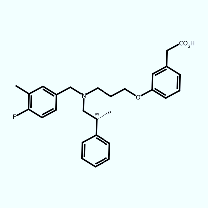 Cc1cc(CN(CCCOc2cccc(CC(=O)O)c2)C[C@H](C)c2ccccc2)ccc1F